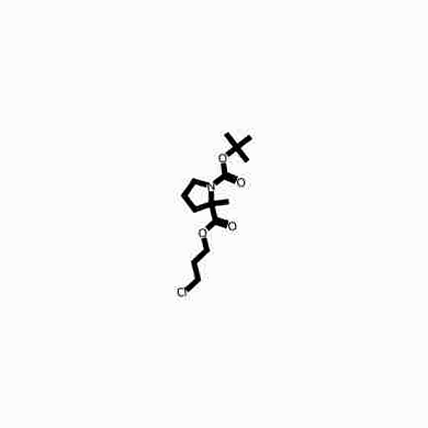 CC(C)(C)OC(=O)N1CCCC1(C)C(=O)OCCCCl